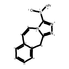 CCC[S+]([O-])c1nnc2n1C=Cc1ccccc1C2